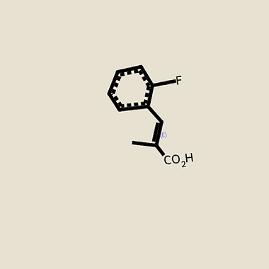 C/C(=C\c1ccccc1F)C(=O)O